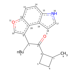 CCCCC(C(=O)C1CCC1C)c1coc2ccc3[nH]ccc3c12